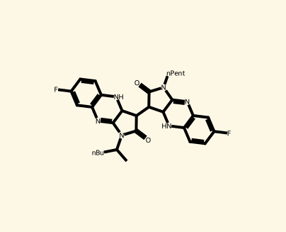 CCCCCN1C(=O)C(C2C(=O)N(C(C)CCCC)C3=Nc4cc(F)ccc4NC32)C2Nc3ccc(F)cc3N=C21